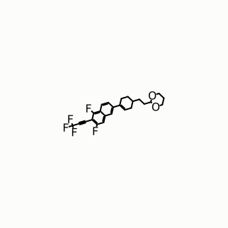 Fc1cc2cc(C3=CCC(CCC4OCCCO4)CC3)ccc2c(F)c1C#CC(F)(F)F